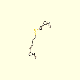 C=BSCCC=CC